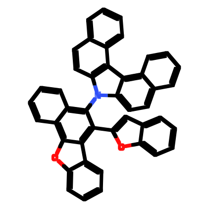 c1ccc2oc(-c3c(-n4c5ccc6ccccc6c5c5c6ccccc6ccc54)c4ccccc4c4oc5ccccc5c34)cc2c1